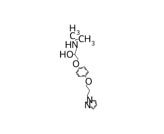 CC(C)NCC(O)COc1ccc(OCCCn2cccn2)cc1